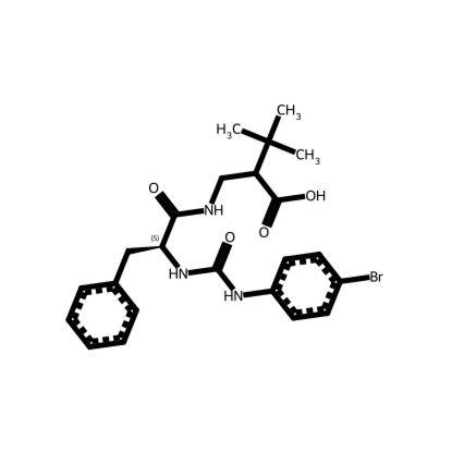 CC(C)(C)C(CNC(=O)[C@H](Cc1ccccc1)NC(=O)Nc1ccc(Br)cc1)C(=O)O